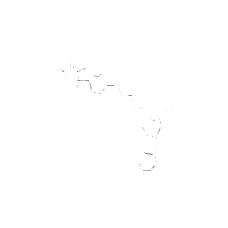 CCCc1cc(Oc2ccccc2)ccc1OCCCCc1ccc(C2(C)SC(=O)NC2=O)cc1